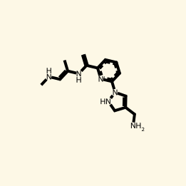 C=C(N/C(C)=C/NC)c1cccc(N2C=C(CN)CN2)n1